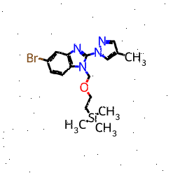 Cc1cnn(-c2nc3cc(Br)ccc3n2COCC[Si](C)(C)C)c1